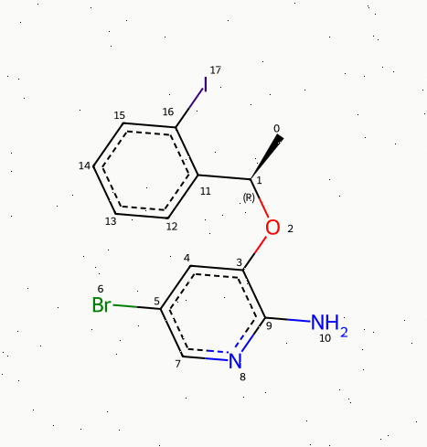 C[C@@H](Oc1cc(Br)cnc1N)c1ccccc1I